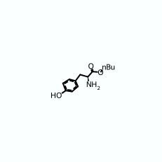 CCCCOC(=O)[C@@H](N)Cc1ccc(O)cc1